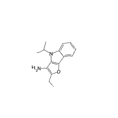 CCc1oc2c3ccccc3n(C(C)C)c2c1N